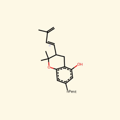 C=C(C)/C=C/C1Cc2c(O)cc(CCCCC)cc2OC1(C)C